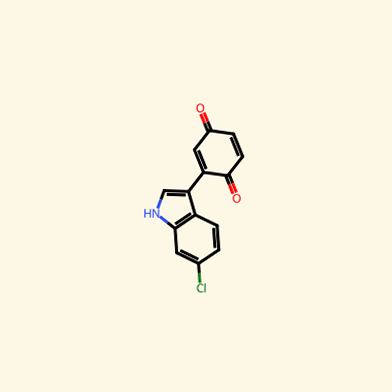 O=C1C=CC(=O)C(c2c[nH]c3cc(Cl)ccc23)=C1